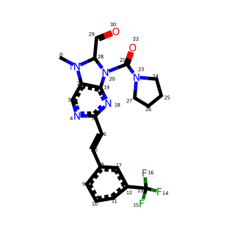 CN1c2cnc(/C=C/c3cccc(C(F)(F)F)c3)nc2N(C(=O)N2CCCC2)C1C=O